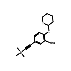 CC(C)(C)c1cc(C#C[Si](C)(C)C)ccc1OC1CCCCO1